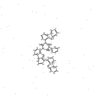 c1ccc(C2NC(c3cccc4c3sc3ccccc34)NC(c3cccc4c3sc3c(-c5cccc6c5sc5ccccc56)cccc34)N2)cc1